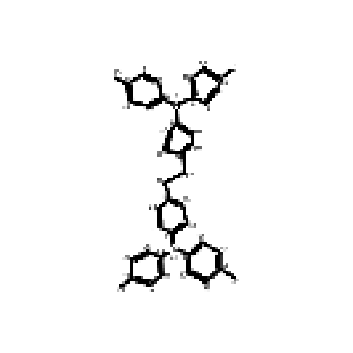 Cc1ccc(N(c2ccc(C)cc2)c2ccc(CCc3ccc(N(c4ccc(C)cc4)c4ccc(C)cc4)cc3)cc2)cc1